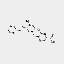 NC(=O)c1cnc([CH]c2ccc(O)c(OCc3ccccc3)c2)c(Cl)n1